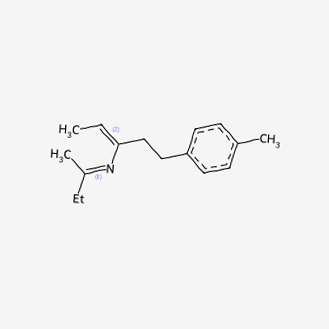 C/C=C(CCc1ccc(C)cc1)\N=C(/C)CC